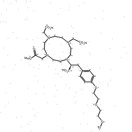 CCOCCOCCOc1ccc(C[C@@H](C(=O)O)N2CCN(CC(=O)O)CCN(CC(=O)O)CCN(CC(=O)OC)CC2)cc1